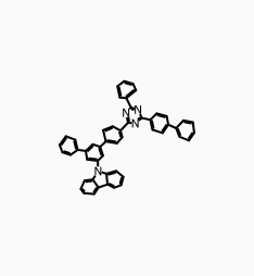 c1ccc(-c2ccc(-c3nc(-c4ccccc4)nc(-c4ccc(-c5cc(-c6ccccc6)cc(-n6c7ccccc7c7ccccc76)c5)cc4)n3)cc2)cc1